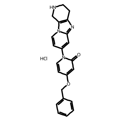 Cl.O=c1cc(OCc2ccccc2)ccn1-c1ccn2c3c(nc2c1)CCNC3